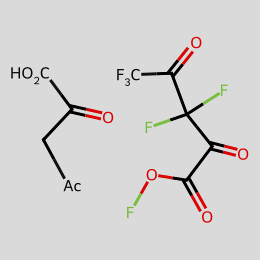 CC(=O)CC(=O)C(=O)O.O=C(OF)C(=O)C(F)(F)C(=O)C(F)(F)F